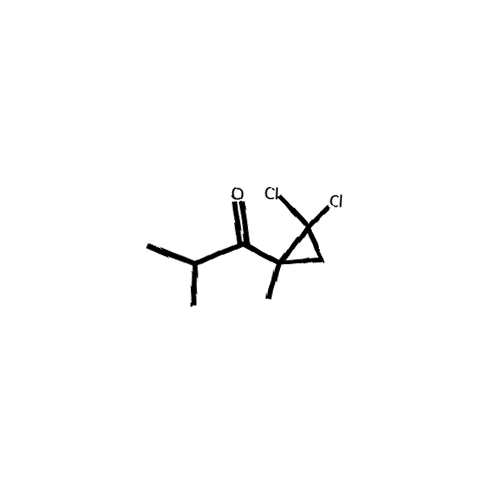 CC(C)C(=O)C1(C)CC1(Cl)Cl